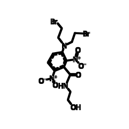 O=C(NCCO)c1c([N+](=O)[O-])ccc(N(CCBr)CCBr)c1[N+](=O)[O-]